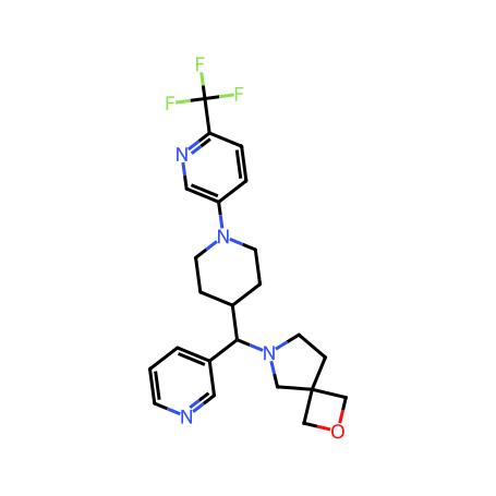 FC(F)(F)c1ccc(N2CCC(C(c3cccnc3)N3CCC4(COC4)C3)CC2)cn1